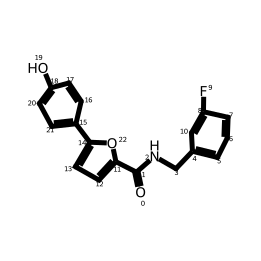 O=C(NCc1cccc(F)c1)c1ccc(-c2ccc(O)cc2)o1